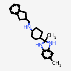 Cc1ccc2c(c1)NC(C)(C1CCC(NCC3Cc4ccccc4C3)CC1)N2